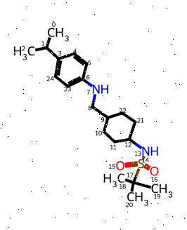 CC(C)c1ccc(NCC2CCC(NS(=O)(=O)C(C)(C)C)CC2)cc1